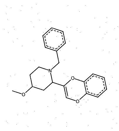 COC1CCN(Cc2ccccc2)C(C2=COc3ccccc3O2)C1